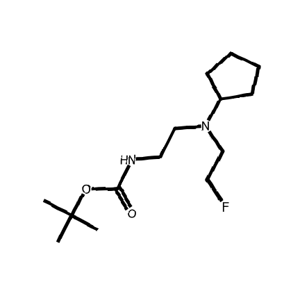 CC(C)(C)OC(=O)NCCN(CCF)C1CCCC1